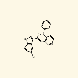 N#CC(=Cc1cnccc1Sc1ccccn1)c1c[nH]c2ccc(Cl)cc12